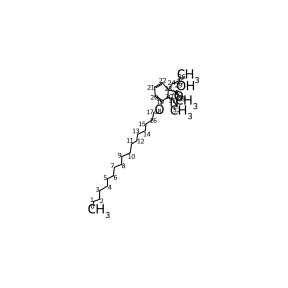 CCCCCCCCCCCCCCCCCCOC1=CC=CC(CCC)(C(=O)O)C1N(C)C